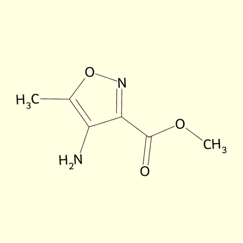 COC(=O)c1noc(C)c1N